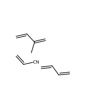 C=CC#N.C=CC(=C)C.C=CC=C